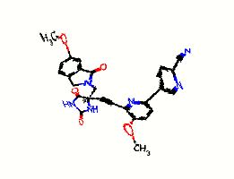 COc1ccc2c(c1)C(=O)N(C[C@@]1(C#Cc3nc(-c4ccc(C#N)nc4)ccc3OC)NC(=O)NC1=O)C2